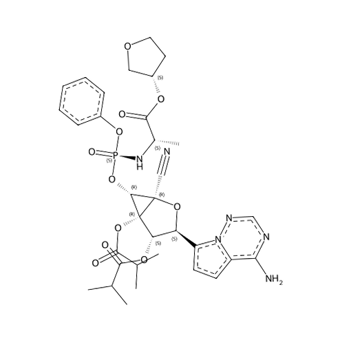 CC(C)C(=O)O[C@H]1[C@H](c2ccc3c(N)ncnn23)O[C@]2(C#N)[C@@H](O[P@@](=O)(N[C@@H](C)C(=O)O[C@H]3CCOC3)Oc3ccccc3)[C@]12OC(=O)C(C)C